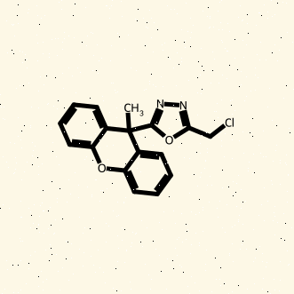 CC1(c2nnc(CCl)o2)c2ccccc2Oc2ccccc21